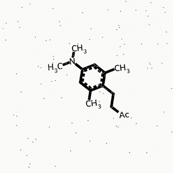 CC(=O)CCc1c(C)cc(N(C)C)cc1C